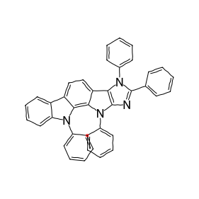 c1ccc(-c2nc3c(c4ccc5c6ccccc6n(-c6ccccc6)c5c4n3-c3ccccc3)n2-c2ccccc2)cc1